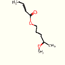 CC=CC(=O)OCCCC(C)O[SiH3]